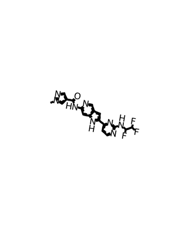 Cn1cc(C(=O)Nc2cc3[nH]c(-c4ccnc(NC(F)C(F)F)n4)cc3cn2)cn1